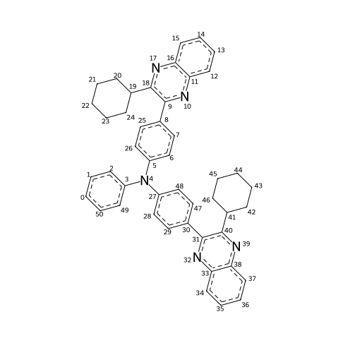 c1ccc(N(c2ccc(-c3nc4ccccc4nc3C3CCCCC3)cc2)c2ccc(-c3nc4ccccc4nc3C3CCCCC3)cc2)cc1